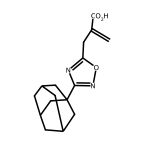 C=C(Cc1nc(C23CC4CC(CC(C4)C2)C3)no1)C(=O)O